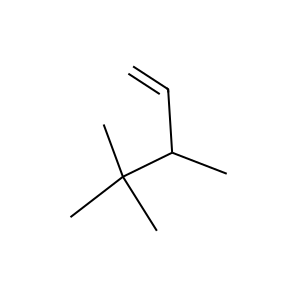 C=CC(C)C(C)(C)C